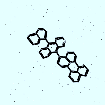 c1ccc2c(-c3c4ccccc4c(-c4ccc5c6cccc7cccc(c8cccc4c85)c76)c4cnccc34)cccc2c1